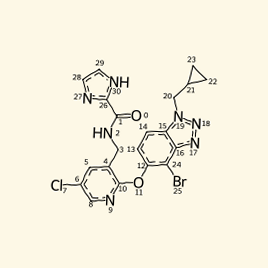 O=C(NCc1cc(Cl)cnc1Oc1ccc2c(nnn2CC2CC2)c1Br)c1ncc[nH]1